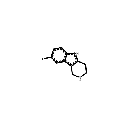 Fc1ccc2[nH]c3c(c2c1)CNCC3